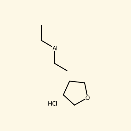 C1CCOC1.C[CH2][Al][CH2]C.Cl